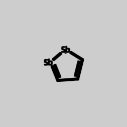 C1=[CH][Sb][Sb]=[CH]1